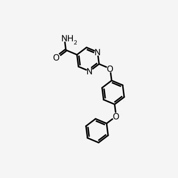 NC(=O)c1cnc(Oc2ccc(Oc3ccccc3)cc2)nc1